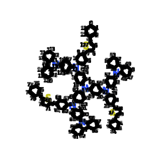 c1ccc(-c2ccc(-c3ccc(N(c4ccc(N(c5ccc(N(c6ccc(-c7ccc(-c8ccccc8)s7)cc6)c6ccc(-n7c8ccccc8c8ccccc87)cc6)cc5)c5ccc(N(c6ccc(-c7ccc(-c8ccccc8)s7)cc6)c6ccc(-n7c8ccccc8c8ccccc87)cc6)cc5)cc4)c4ccc(-n5c6ccccc6c6ccccc65)cc4)cc3)s2)cc1